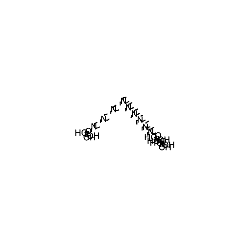 CCN(CC)CC.CCN(CC)CC.CCN(CC)CC.CCN(CC)CC.CCN(CC)CC.CCN(CC)CC.CCN(CC)CC.CCN(CC)CC.CCN(CC)CC.O=P(O)(O)O.O=P(O)(O)O.O=P(O)(O)O